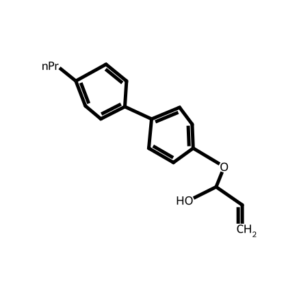 C=CC(O)Oc1ccc(-c2ccc(CCC)cc2)cc1